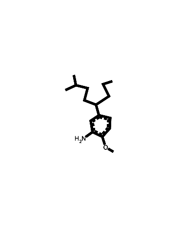 CCCC(CCC(C)C)c1ccc(OC)c(N)c1